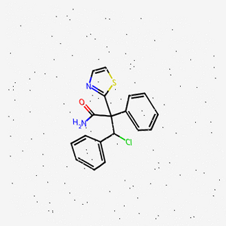 NC(=O)C(c1ccccc1)(c1nccs1)C(Cl)c1ccccc1